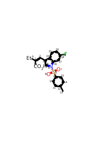 CCC(=Cc1cn(S(=O)(=O)c2ccc(C)cc2)c2cc(F)ccc12)C(=O)O